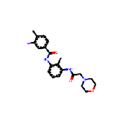 Cc1ccc(C(=O)Nc2cccc(NC(=O)CN3CCOCC3)c2C)cc1I